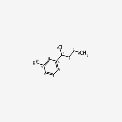 CCCC(Cl)c1cccc(Br)c1